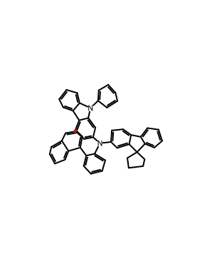 c1ccc(-n2c3ccccc3c3ccc(N(c4ccc5c(c4)C4(CCCC4)c4ccccc4-5)c4ccccc4-c4cccc5ccccc45)cc32)cc1